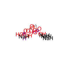 O=[PH](O)O.O=[PH](O)O.[C]=O.[C]=O.[C]=O.[C]=O.[NaH].[NaH].[NaH].[NaH]